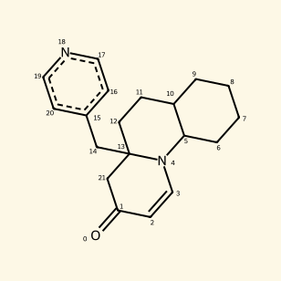 O=C1C=CN2C3CCCCC3CCC2(Cc2ccncc2)C1